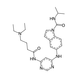 CCN(CC)CCCC(=O)Nc1cc(Nc2ccc3c(ccn3C(=O)NC(C)C)c2)ncn1